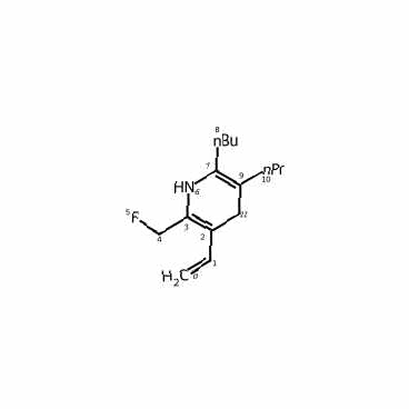 C=CC1=C(CF)NC(CCCC)=C(CCC)C1